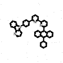 c1ccc(-c2c3ccccc3c(-c3cccc(-c4cccc(-c5ccc(-n6c7ccccc7c7ncccc76)cc5)n4)n3)c3ccccc23)cc1